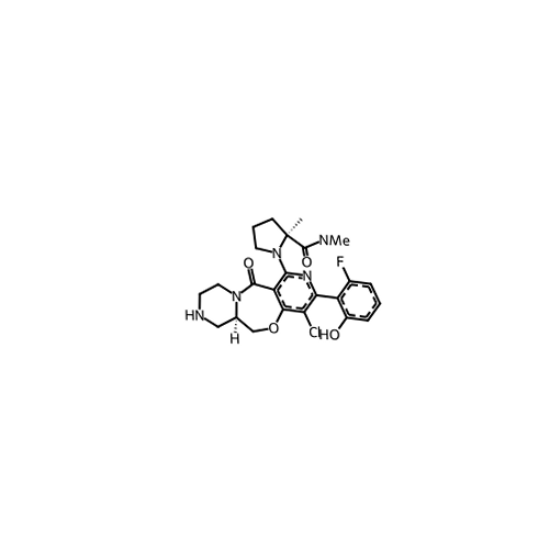 CNC(=O)[C@]1(C)CCCN1c1nc(-c2c(O)cccc2F)c(Cl)c2c1C(=O)N1CCNC[C@@H]1CO2